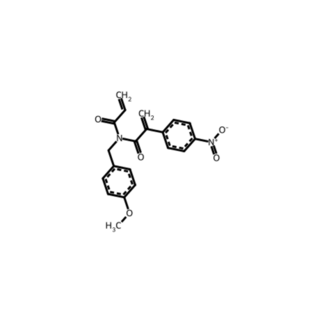 C=CC(=O)N(Cc1ccc(OC)cc1)C(=O)C(=C)c1ccc([N+](=O)[O-])cc1